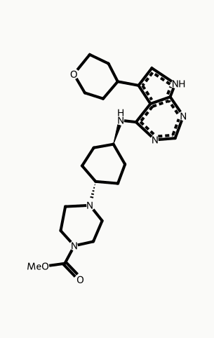 COC(=O)N1CCN([C@H]2CC[C@H](Nc3ncnc4[nH]cc(C5CCOCC5)c34)CC2)CC1